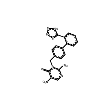 CCCCc1ncc([N+](=O)[O-])c(=O)n1Cc1ccc(-c2ccccc2-c2nnn[nH]2)cc1